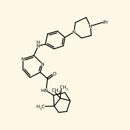 CC(C)N1CCN(c2ccc(Nc3nccc(C(=O)NC4CC5CCC4(C)C5(C)C)n3)cc2)CC1